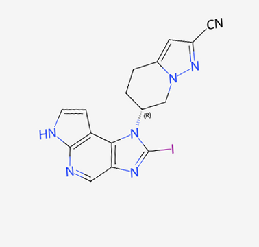 N#Cc1cc2n(n1)C[C@H](n1c(I)nc3cnc4[nH]ccc4c31)CC2